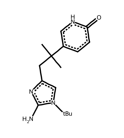 CC(C)(Cc1cn(C(C)(C)C)c(N)n1)c1ccc(=O)[nH]c1